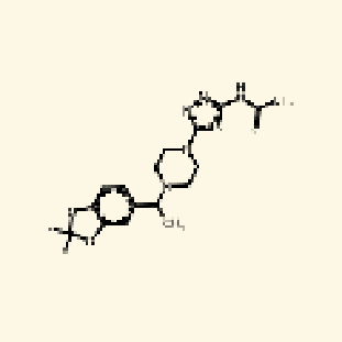 CC(=O)Nc1nnc(N2CCN(C(C)c3ccc4c(c3)OC(F)(F)O4)CC2)s1